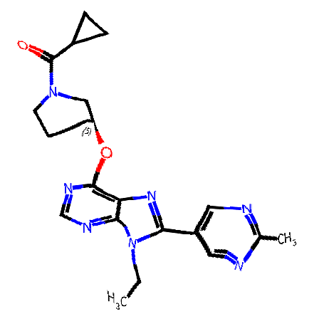 CCn1c(-c2cnc(C)nc2)nc2c(O[C@H]3CCN(C(=O)C4CC4)C3)ncnc21